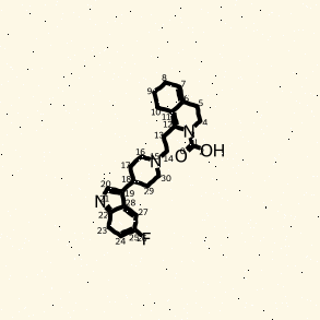 O=C(O)N1CCC2=CCCCC2=C1CCN1CCC(C2=CN=C3CC=C(F)C=C23)CC1